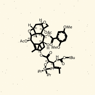 COc1ccc(OC)c(C(=O)O[C@H]2[C@@H]3[C@]4(OC(C)=O)CO[C@@H]4C[C@H]4OC([C@H](OC(C)=O)C5=C(C)[C@@H](OC(=O)[C@H](O[Si](C(C)C)(C(C)C)C(C)C)[C@H](C=C(C)C)NC(=O)OC(C)(C)C)C[C@]2(O)C5(C)C)[C@@]34C)c1